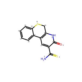 NC(=S)c1cc2c([nH]c1=O)CSc1ccccc1-2